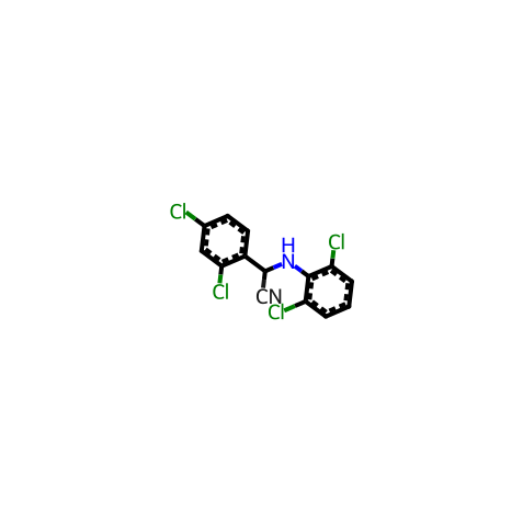 N#CC(Nc1c(Cl)cccc1Cl)c1ccc(Cl)cc1Cl